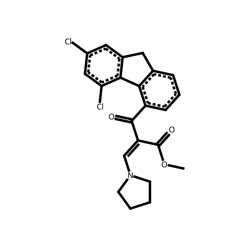 COC(=O)C(=CN1CCCC1)C(=O)c1cccc2c1-c1c(Cl)cc(Cl)cc1C2